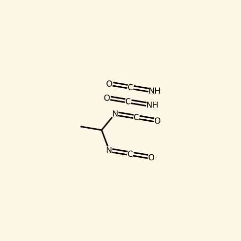 CC(N=C=O)N=C=O.N=C=O.N=C=O